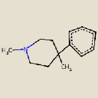 [CH2]C1(c2ccccc2)CCN(C)CC1